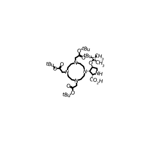 CC(C)(C)OC(=O)CN1CCN(CC(=O)OC(C)(C)C)CCN([C@@H]2[C@@H](O[Si](C)(C)C(C)(C)C)CN[C@@H]2C(=O)O)CCN(CC(=O)OC(C)(C)C)CC1